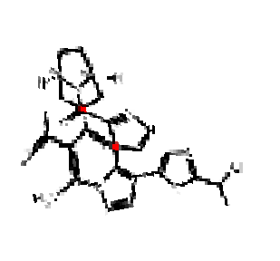 CC(=O)c1c([C@@H]2C[C@H]3CC[C@@H](C2)N3C(=O)c2nnc[nH]2)nc2c(-c3cnc(C(C)O)s3)cnn2c1N